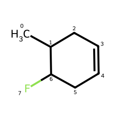 CC1CC=CCC1F